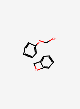 OCOc1ccccc1.c1ccc2c(c1)CO2